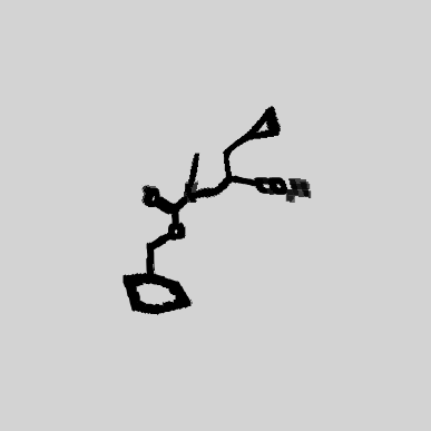 CCOC(=O)C(CC1CC1)CN(C)C(=O)OCc1ccccc1